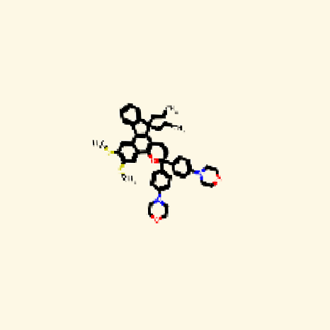 CCCC1(CCC)c2ccccc2-c2c1c1c(c3cc(SC)c(SC)cc23)OC(c2ccc(N3CCOCC3)cc2)(c2ccc(N3CCOCC3)cc2)C=C1